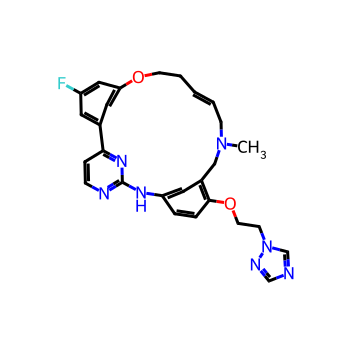 CN1C/C=C/CCOc2cc(F)cc(c2)-c2ccnc(n2)Nc2ccc(OCCn3cncn3)c(c2)C1